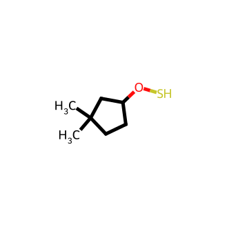 CC1(C)CCC(OS)C1